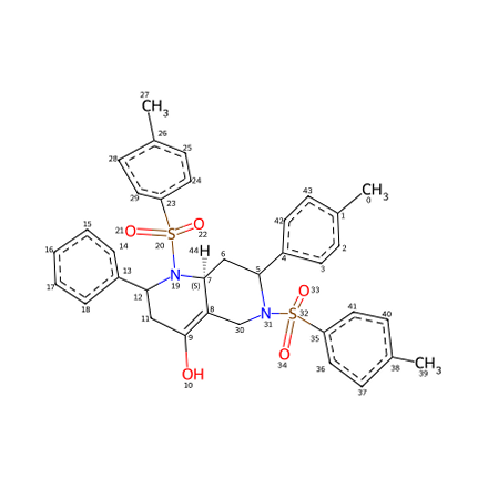 Cc1ccc(C2C[C@H]3C(=C(O)CC(c4ccccc4)N3S(=O)(=O)c3ccc(C)cc3)CN2S(=O)(=O)c2ccc(C)cc2)cc1